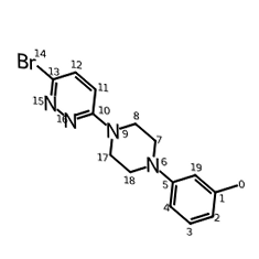 Cc1cccc(N2CCN(c3ccc(Br)nn3)CC2)c1